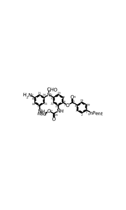 CCCCCc1ccc(C(=O)Oc2ccc(N(C=O)c3cc(N)cc(N)c3)cc2NC(=O)OCCCC)cc1